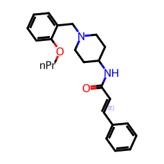 CCCOc1ccccc1CN1CCC(NC(=O)/C=C/c2ccccc2)CC1